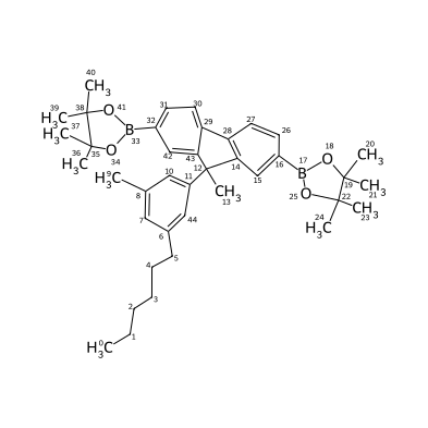 CCCCCCc1cc(C)cc(C2(C)c3cc(B4OC(C)(C)C(C)(C)O4)ccc3-c3ccc(B4OC(C)(C)C(C)(C)O4)cc32)c1